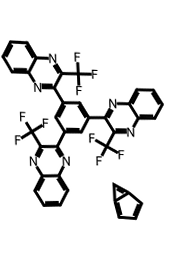 FC(F)(F)c1nc2ccccc2nc1-c1cc(-c2nc3ccccc3nc2C(F)(F)F)cc(-c2nc3ccccc3nc2C(F)(F)F)c1.c1cc2cc-2c1